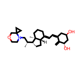 C=C1/C(=C\C=C2/CCC[C@]3(C)[C@@H]([C@H](C)CN4CCOCC45CC5)CC[C@@H]23)C[C@@H](O)C[C@@H]1O